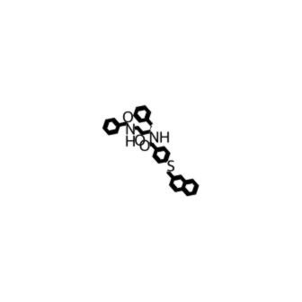 O=C(NCC(=O)[C@H](Cc1ccccc1)NC(=O)c1ccc(SCc2ccc3ccccc3c2)cc1)c1ccccc1